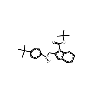 CC(C)(C)OC(=O)n1c(C[S+]([O-])c2ccc(C(C)(C)C)cc2)cc2ccccc21